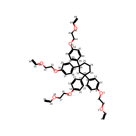 C=COCCOc1ccc(C2(c3ccc(OCCOC=C)cc3)CCCC(c3ccc(OCCOC=C)cc3)(c3ccc(OCCOC=C)cc3)C2)cc1